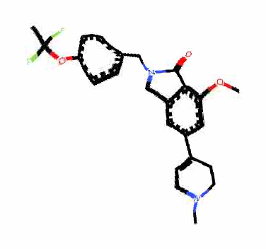 COc1cc(C2=CCN(C)CC2)cc2c1C(=O)N(Cc1ccc(OC(C)(F)F)cc1)C2